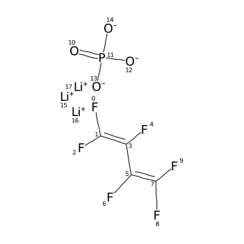 FC(F)=C(F)C(F)=C(F)F.O=P([O-])([O-])[O-].[Li+].[Li+].[Li+]